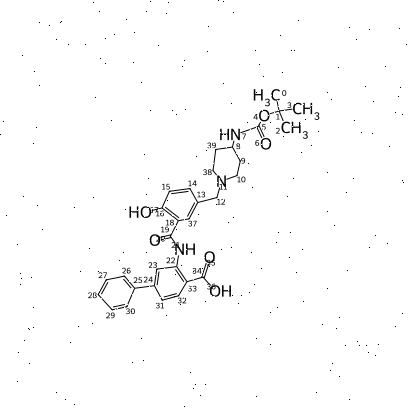 CC(C)(C)OC(=O)NC1CCN(Cc2ccc(O)c(C(=O)Nc3cc(-c4ccccc4)ccc3C(=O)O)c2)CC1